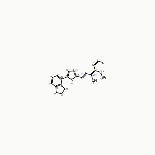 C\C=C/C(OC(C)C)=C(C#N)\C=C\c1ncc(-c2cccc3c2CCC3)s1